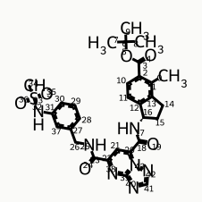 Cc1c(C(=O)OC(C)(C)C)ccc2c1CC[C@@H]2NC(=O)c1cc(C(=O)NCc2cccc(NS(C)(=O)=O)c2)nc2ncnn12